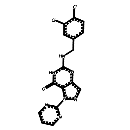 O=c1[nH]c(NCc2ccc(Cl)c(Cl)c2)nc2cnn(-c3ncccn3)c12